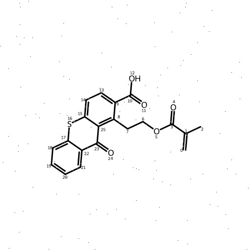 C=C(C)C(=O)OCCc1c(C(=O)O)ccc2sc3ccccc3c(=O)c12